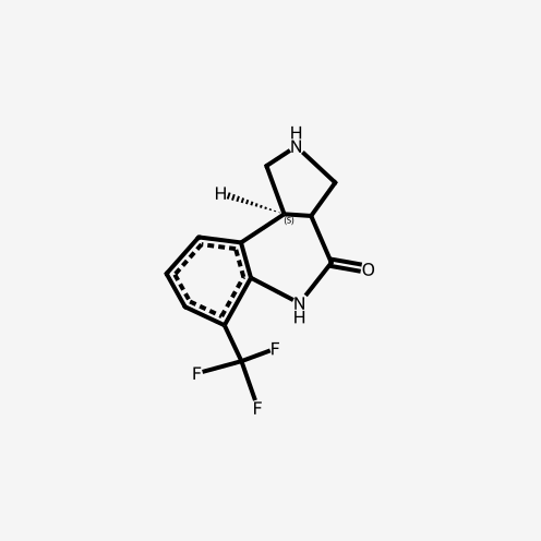 O=C1Nc2c(cccc2C(F)(F)F)[C@H]2CNCC12